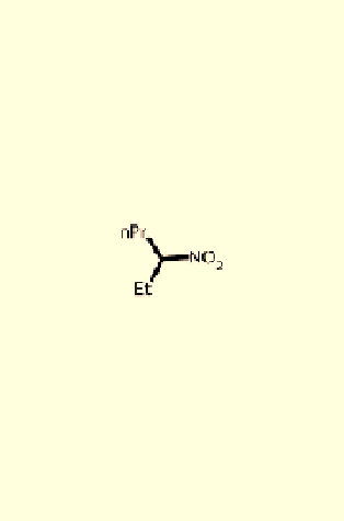 [CH2]CCC(CC)[N+](=O)[O-]